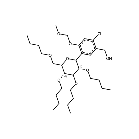 CCCCOCC1OC(c2cc(CO)c(Cl)cc2OCOC)[C@H](OCCCC)C(OCCCC)[C@@H]1OCCCC